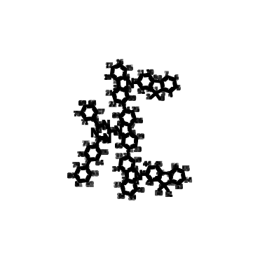 CC1(C)c2ccccc2-c2ccc(-n3c4ccccc4c4ccc(-c5ccc6c7ccc(-c8ccc9c%10ccccc%10n(-c%10ccc%11c(c%10)C(C)(C)c%10ccccc%10-%11)c9c8)cc7n(-c7nc(-c8ccccc8)nc(-c8ccc(-c9ccccc9)cc8)n7)c6c5)cc43)cc21